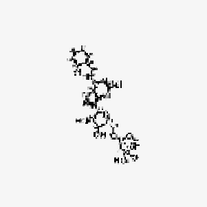 CO[P@@](CP(=O)(O)O)OC[C@H]1O[C@@H](n2nnc3c(NCc4ccccc4Cl)nc(Cl)nc32)[C@H](O)[C@@H]1O